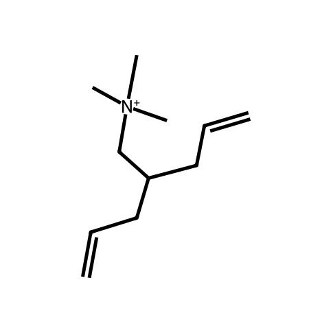 C=CCC(CC=C)C[N+](C)(C)C